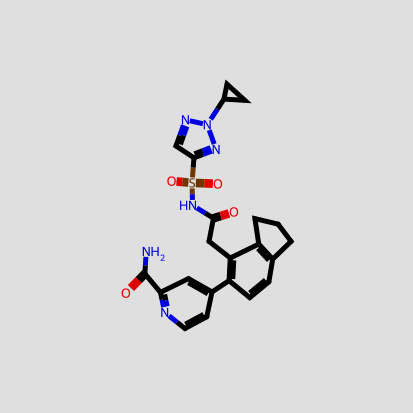 NC(=O)c1cc(-c2ccc3c(c2CC(=O)NS(=O)(=O)c2cnn(C4CC4)n2)CCC3)ccn1